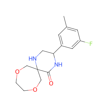 Cc1cc(F)cc(C2CNC3(COCCOC3)C(=O)N2)c1